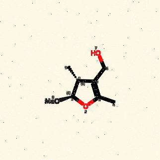 CO[C@@H]1OC(C)=C(CO)[C@H]1C